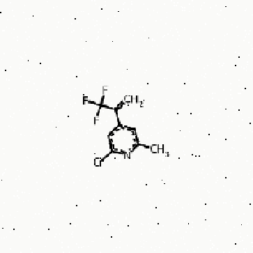 C=C(c1cc(C)nc(Cl)c1)C(F)(F)F